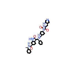 C[C@@H](NC(=O)c1ccc2c(c1)NC(=O)/C2=C(\NCc1ccc(N2C(=O)N/C(=C\c3ccncc3)C2=O)cc1)c1ccccc1)c1ccccc1